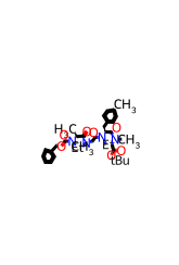 CCN(CC(=O)N(CC)[C@@H](Cc1ccc(C)cc1)C(=O)N(C)CC(=O)OC(C)(C)C)C(=O)[C@H](C)N(C)C(=O)OCc1ccccc1